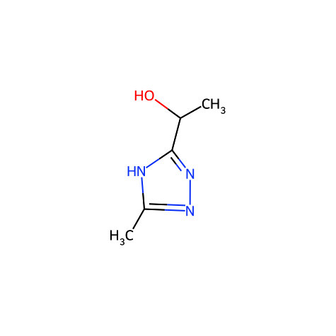 Cc1nnc(C(C)O)[nH]1